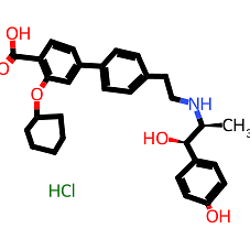 C[C@H](NCCc1ccc(-c2ccc(C(=O)O)c(OC3CCCCC3)c2)cc1)[C@H](O)c1ccc(O)cc1.Cl